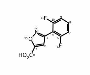 O=C(O)c1cc(-c2c(F)cccc2F)no1